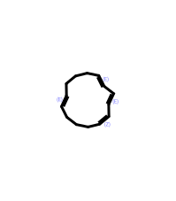 C1=C\CCC/C=C/CCC/C=C/C=C/1